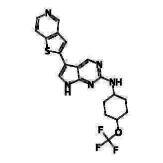 FC(F)(F)OC1CCC(Nc2ncc3c(-c4cc5cnccc5s4)c[nH]c3n2)CC1